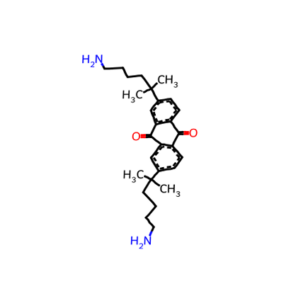 CC(C)(CCCCN)c1ccc2c(c1)C(=O)c1cc(C(C)(C)CCCCN)ccc1C2=O